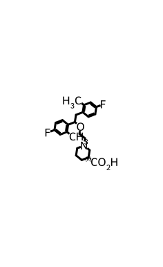 Cc1cc(F)ccc1CC(OCCN1CCC[C@@H](C(=O)O)C1)c1ccc(F)cc1C